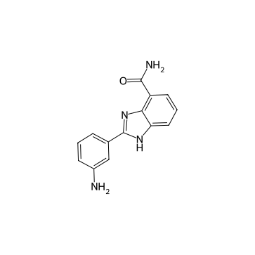 NC(=O)c1cccc2[nH]c(-c3cccc(N)c3)nc12